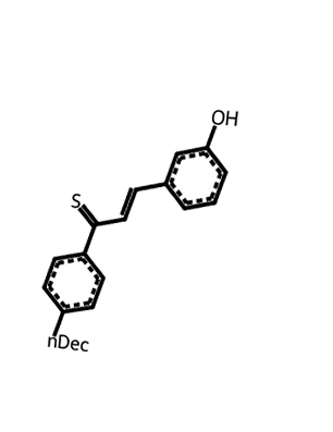 CCCCCCCCCCc1ccc(C(=S)C=Cc2cccc(O)c2)cc1